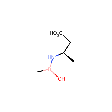 CB(O)N[C@H](C)CC(=O)O